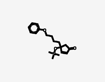 C[Si](C)(C)OC1(CCCCOc2ccccc2)C=CC(=O)C1